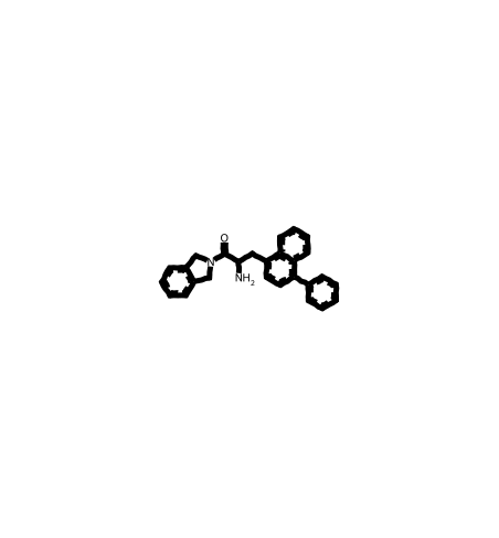 NC(Cc1ccc(-c2ccccc2)c2ccccc12)C(=O)N1Cc2ccccc2C1